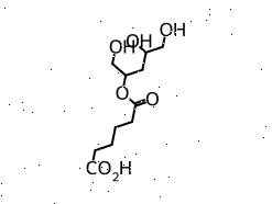 O=C(O)CCCCC(=O)OC(CO)CC(O)CO